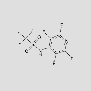 O=S(=O)(Nc1c(F)c(F)nc(F)c1F)C(F)(F)F